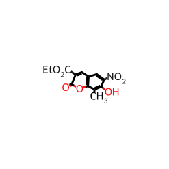 CCOC(=O)c1cc2cc([N+](=O)[O-])c(O)c(C)c2oc1=O